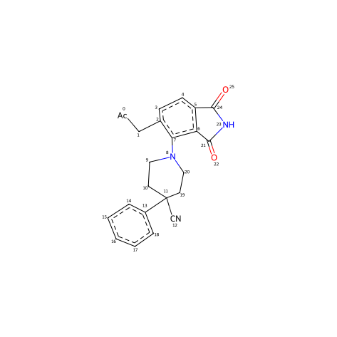 CC(=O)Cc1ccc2c(c1N1CCC(C#N)(c3ccccc3)CC1)C(=O)NC2=O